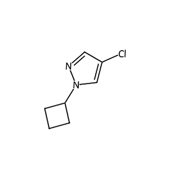 Clc1cnn(C2CCC2)c1